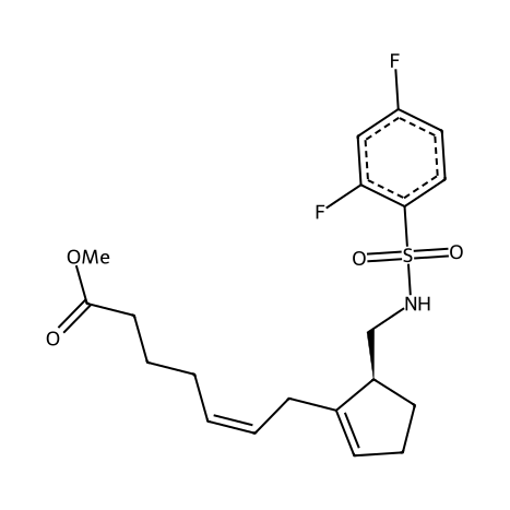 COC(=O)CCC/C=C\CC1=CCC[C@@H]1CNS(=O)(=O)c1ccc(F)cc1F